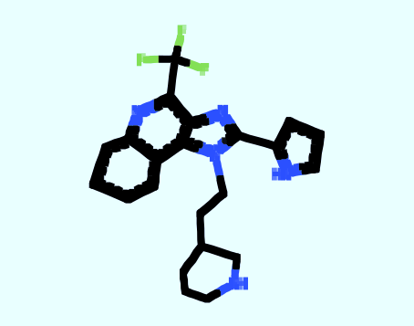 FC(F)(F)c1nc2ccccc2c2c1nc(-c1ccc[nH]1)n2CCC1CCCNC1